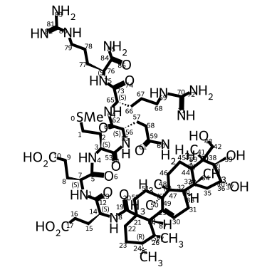 CSCC[C@H](NC(=O)[C@H](CCC(=O)O)NC(=O)[C@H](CCC(=O)O)NC(=O)C12CC[C@@H](C)[C@H](C)[C@H]1C1=CC[C@@H]3[C@@]4(C)C[C@@H](O)[C@H](O)[C@@](C)(CO)[C@@H]4CC[C@@]3(C)[C@]1(C)CC2)C(=O)N[C@@H](CCC(N)=O)C(=O)N[C@@H](CCCNC(=N)N)C(=O)N[C@@H](CCCNC(=N)N)C(N)=O